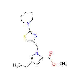 CCc1cc(C(=O)OC)n(Cc2csc(N3CCCCC3)n2)c1